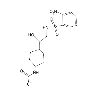 O=C(NC1CCC(C(O)CNS(=O)(=O)c2ccccc2[N+](=O)[O-])CC1)C(F)(F)F